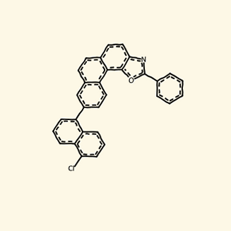 Clc1cccc2c(-c3ccc4c(ccc5ccc6nc(-c7ccccc7)oc6c54)c3)cccc12